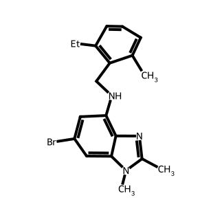 CCc1cccc(C)c1CNc1cc(Br)cc2c1nc(C)n2C